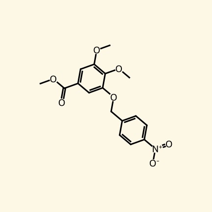 COC(=O)c1cc(OC)c(OC)c(OCc2ccc([N+](=O)[O-])cc2)c1